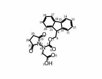 O=C(O)CN(C(=O)OCC1c2ccccc2-c2ccccc21)N1C(=O)CCC1=O